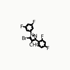 O=Cc1c(-c2ccc(F)cc2F)nn(-c2cc(F)cc(F)c2)c1Br